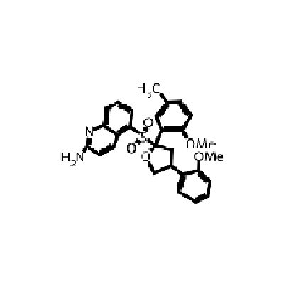 COc1ccccc1C1COC(c2cc(C)ccc2OC)(S(=O)(=O)c2cccc3nc(N)ccc23)C1